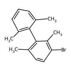 Cc1cccc(C)c1-c1c(C)ccc(Br)c1C